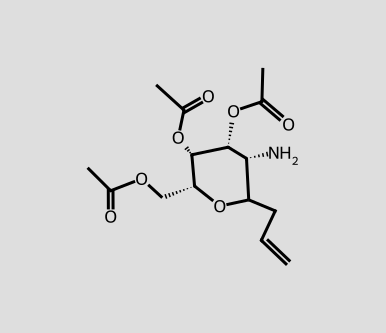 C=CCC1O[C@H](COC(C)=O)[C@H](OC(C)=O)[C@H](OC(C)=O)[C@@H]1N